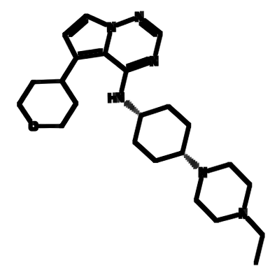 CCN1CCN([C@H]2CC[C@@H](Nc3ncnn4ccc(C5CCOCC5)c34)CC2)CC1